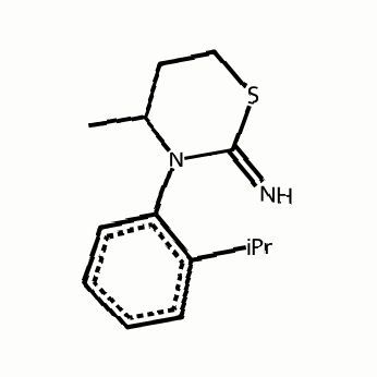 CC(C)c1ccccc1N1C(=N)SCCC1C